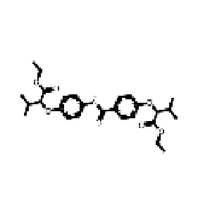 CCOC(=O)C(Oc1ccc(NC(=O)c2ccc(OC(C(=O)OCC)C(C)C)cc2)cc1)C(C)C